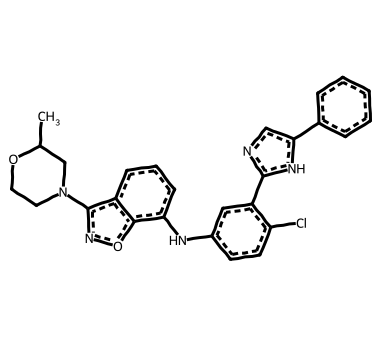 CC1CN(c2noc3c(Nc4ccc(Cl)c(-c5ncc(-c6ccccc6)[nH]5)c4)cccc23)CCO1